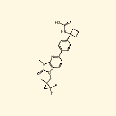 Cn1c(=O)n(CC2(C)CC2(F)F)c2ccc(-c3ccc(C4(NC(=O)O)CCC4)cc3)nc21